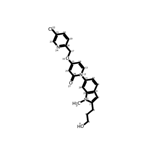 Cn1c(CCCO)cc2ccc(-n3ccc(OCc4ccc(Cl)cn4)cc3=O)cc21